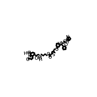 O=C(NC(c1ccccc1)c1cccc(OCc2csc(C(=O)OCCCCNC[C@H](O)c3ccc(O)c4[nH]c(=O)ccc34)c2)c1)O[C@H]1CN2CCC1CC2